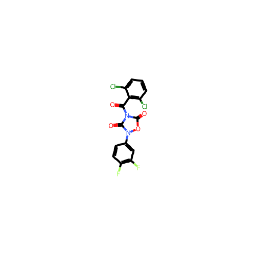 O=C(c1c(Cl)cccc1Cl)n1c(=O)on(-c2ccc(F)c(F)c2)c1=O